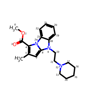 COC(=O)c1c(C)cc2n(CCN3CCCCC3)c3ccccc3n12